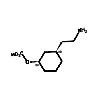 NCC[C@@H]1CCC[C@H](OC(=O)O)C1